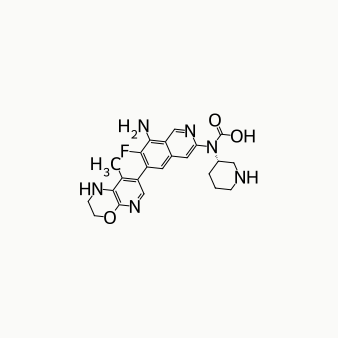 Cc1c(-c2cc3cc(N(C(=O)O)[C@H]4CCCNC4)ncc3c(N)c2F)cnc2c1NCCO2